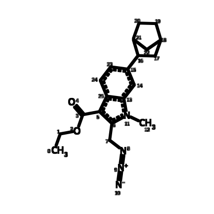 CCOC(=O)c1c(CN=[N+]=[N-])n(C)c2cc(C3CC4CCC3C4)ccc12